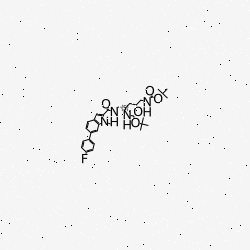 Cn1c(C(=O)NC[C@H](CCCNC(=O)OC(C)(C)C)NC(=O)OC(C)(C)C)cc2ccc(-c3ccc(F)cc3)cc21